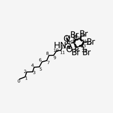 CCCCCCCCCCCCNS(=O)(=O)c1c(Br)c(Br)c(Br)c(Br)c1Br